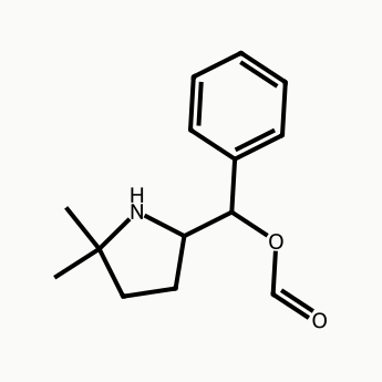 CC1(C)CCC(C(OC=O)c2ccccc2)N1